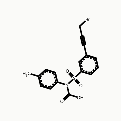 Cc1ccc(N(C(=O)O)S(=O)(=O)c2cccc(C#CCBr)c2)cc1